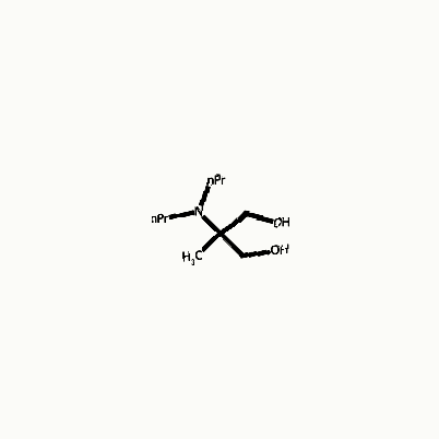 CCCN(CCC)C(C)(CO)CO